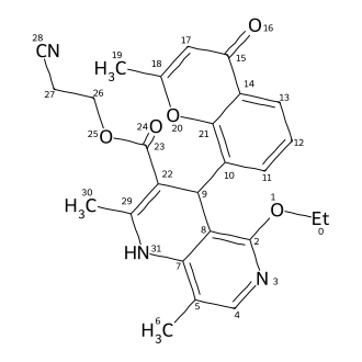 CCOc1ncc(C)c2c1C(c1cccc3c(=O)cc(C)oc13)C(C(=O)OCCC#N)=C(C)N2